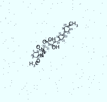 COc1cccc2c(=O)n(CC[C@H](C(=O)O)[C@H](O)CCc3ccc(-c4ccc(C)cc4)cc3)nnc12